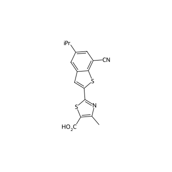 Cc1nc(-c2cc3cc(C(C)C)cc(C#N)c3s2)sc1C(=O)O